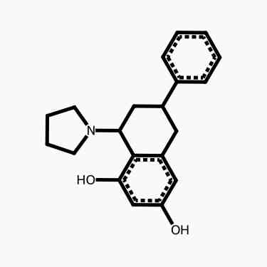 Oc1cc(O)c2c(c1)CC(c1ccccc1)CC2N1CCCC1